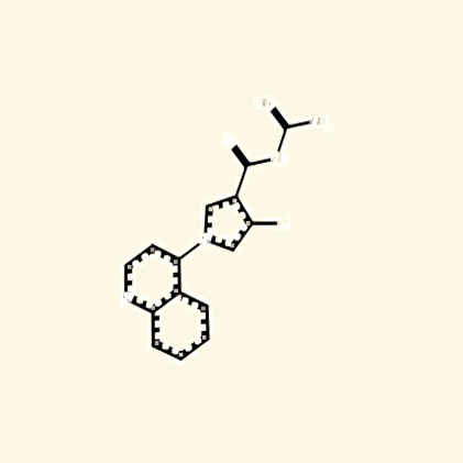 N=C(N)NC(=O)c1cn(-c2ccnc3ccccc23)cc1Cl